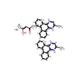 CC(=O)C=C(C)O.Cc1cnc2c3[c-]cccc3c3ccccc3c2n1.Cc1cnc2c3[c-]cccc3c3ccccc3c2n1.[Ir]